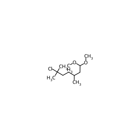 COC(CC(C)CCC(C)(C)Cl)OC